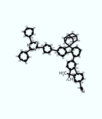 CC1(C)c2ccc(-c3cccc4c3-c3ccc(-c5ccc(-c6nc(-c7ccccc7)nc(-c7ccccc7)n6)cc5)cc3C43C4CC5CC(C4)CC3C5)cc2-c2ccc(C#N)cc21